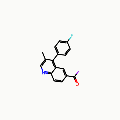 Cc1cnc2ccc(C(=O)I)cc2c1-c1ccc(F)cc1